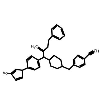 C#Cc1ccc(CC2CCC(C(C(=C)CCc3ccccc3)c3ccc(C4C=CC(C(C)=O)=C4)cc3)CC2)cc1